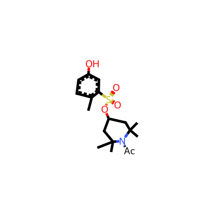 CC(=O)N1C(C)(C)CC(OS(=O)(=O)c2cc(O)ccc2C)CC1(C)C